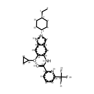 CC[C@H]1CC[C@H](n2cc3cc(NC(=O)c4cccc(C(F)(F)F)n4)c(OC4CC4)cc3n2)CC1